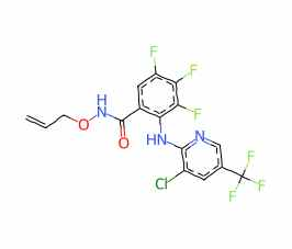 C=CCONC(=O)c1cc(F)c(F)c(F)c1Nc1ncc(C(F)(F)F)cc1Cl